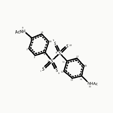 CC(=O)Nc1ccc(S(=S)(=S)S(=S)(=S)c2ccc(NC(C)=O)cc2)cc1